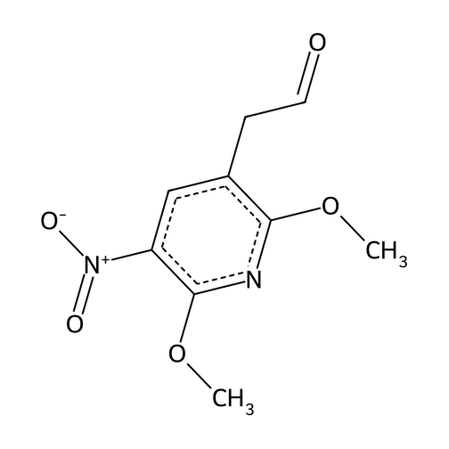 COc1nc(OC)c([N+](=O)[O-])cc1CC=O